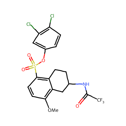 COc1ccc(S(=O)(=O)Oc2ccc(Cl)c(Cl)c2)c2c1CC(NC(=O)C(F)(F)F)CC2